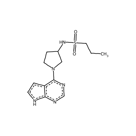 CCCS(=O)(=O)NC1CCN(c2ncnc3[nH]ccc23)C1